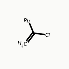 C=[C](Cl)[Ru]